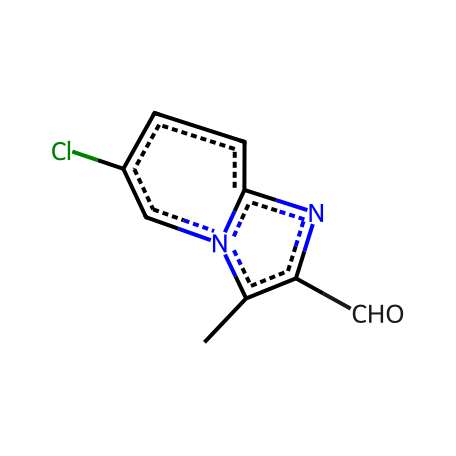 Cc1c(C=O)nc2ccc(Cl)cn12